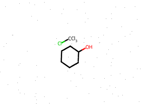 ClC(Cl)(Cl)Cl.OC1CCCCC1